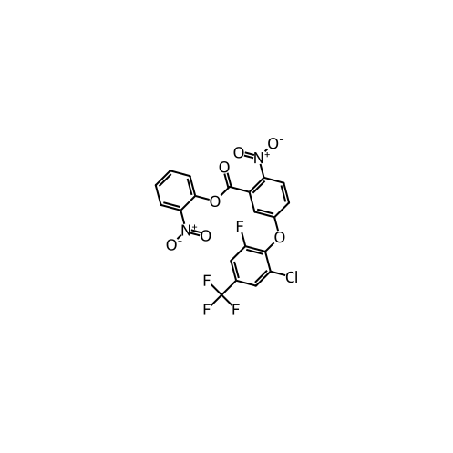 O=C(Oc1ccccc1[N+](=O)[O-])c1cc(Oc2c(F)cc(C(F)(F)F)cc2Cl)ccc1[N+](=O)[O-]